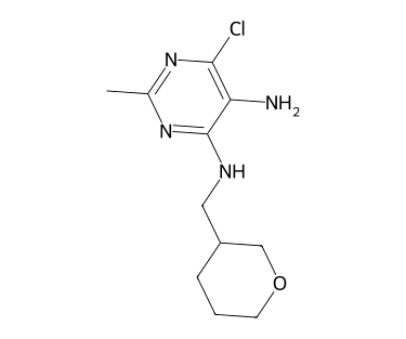 Cc1nc(Cl)c(N)c(NCC2CCCOC2)n1